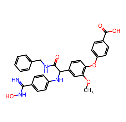 COc1cc(C(Nc2ccc(C(=N)NO)cc2)C(=O)NCc2ccccc2)ccc1Oc1ccc(C(=O)O)cc1